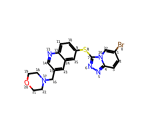 Brc1ccc2nnc(Sc3ccc4ncc(CN5CCOCC5)cc4c3)n2c1